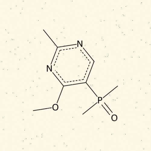 COc1nc(C)ncc1P(C)(C)=O